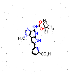 CCC(C)(C)OC(=O)Nc1nc2[nH]c(-c3cccc(C(=O)O)n3)cc2c2c1ncn2C